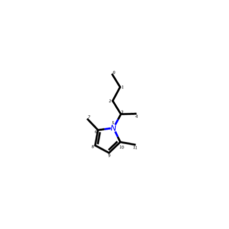 CCCC(C)n1c(C)ccc1C